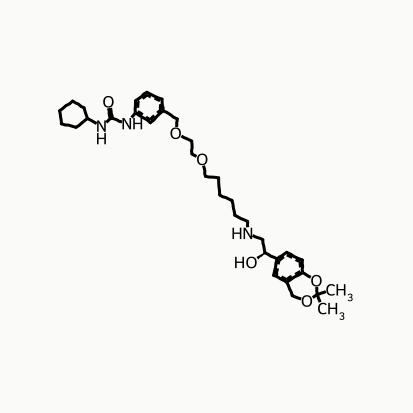 CC1(C)OCc2cc([C@@H](O)CNCCCCCCOCCOCc3cccc(NC(=O)NC4CCCCC4)c3)ccc2O1